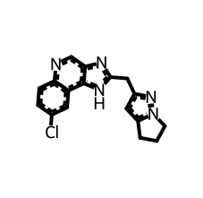 Clc1ccc2ncc3nc(Cc4cc5n(n4)CCC5)[nH]c3c2c1